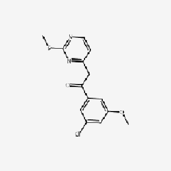 COc1cc(Cl)cc(C(=O)Cc2ccnc(SC)n2)c1